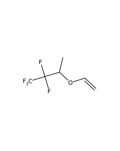 C=COC(C)C(F)(F)C(F)(F)F